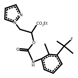 CCOC(=O)C(Cn1cccn1)OC(=O)Nc1cccc(C(C)(C)F)c1C